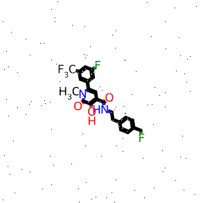 Cn1c(-c2cc(F)cc(C(F)(F)F)c2)cc(C(=O)NCCc2ccc(CF)cc2)c(O)c1=O